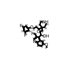 COc1ccc2ncc(CF)c([C@H](O)CCC3([C@@H](O)CCOc4cc(F)cc(F)c4)CCNCC3)c2c1